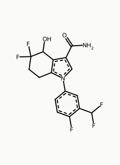 NC(=O)c1cn(-c2ccc(F)c(C(F)F)c2)c2c1C(O)C(F)(F)CC2